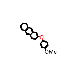 COc1ccc(Oc2ccc3cc4c(cc3c2)CCC=C4)cc1